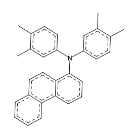 Cc1ccc(N(c2ccc(C)c(C)c2)c2cccc3c2ccc2ccccc23)cc1C